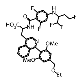 CCOCc1cc(OC)c(-c2ncc(CC(NC(=O)c3c(F)cc(NC(CCF)C(F)F)cc3F)C(=O)O)c3ccccc23)c(OC)c1